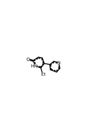 CCc1[nH]c(=O)ccc1-c1cccnc1